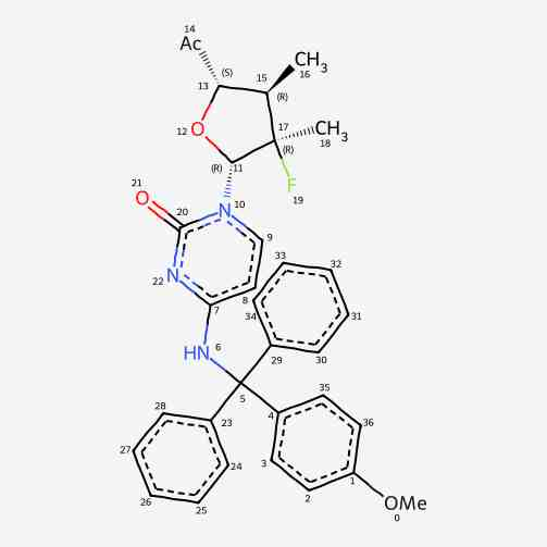 COc1ccc(C(Nc2ccn([C@@H]3O[C@H](C(C)=O)[C@@H](C)[C@@]3(C)F)c(=O)n2)(c2ccccc2)c2ccccc2)cc1